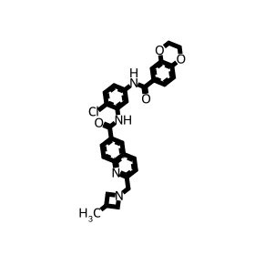 CC1CN(Cc2ccc3cc(C(=O)Nc4cc(NC(=O)c5ccc6c(c5)OCCO6)ccc4Cl)ccc3n2)C1